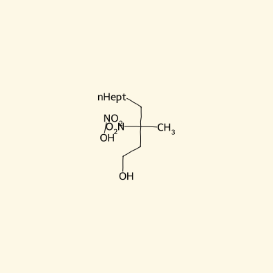 CCCCCCCCC(C)(CCO)[N+](=O)[O-].O=[N+]([O-])O